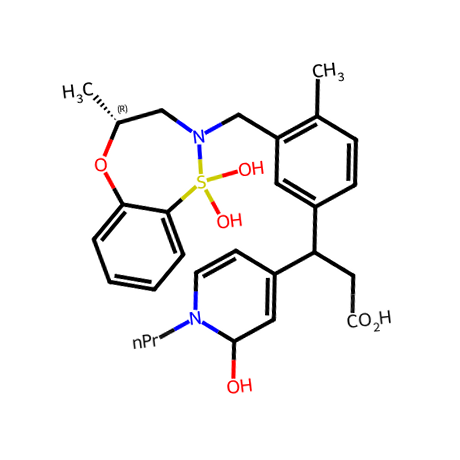 CCCN1C=CC(C(CC(=O)O)c2ccc(C)c(CN3C[C@@H](C)Oc4ccccc4S3(O)O)c2)=CC1O